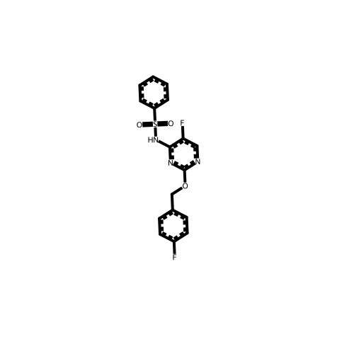 O=S(=O)(Nc1nc(OCc2ccc(F)cc2)ncc1F)c1ccccc1